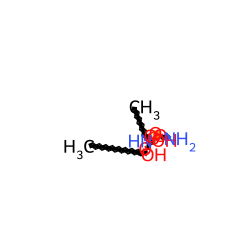 CCCCCCCCCCCCCCC/C=C/C(O)OC[C@H](COP(=O)(O)OCCN)NC(=O)CCCCCCCCCC